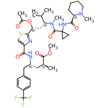 COC(=O)[C@@H](C)C[C@H](Cc1ccc(C(F)(F)F)cc1)NC(=O)c1csc([C@@H](C[C@H](C(C)C)N(C)C(=O)C2(NC(=O)[C@H]3CCCCN3C)CC2)OC(C)=O)n1